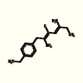 CC/C(C)=C/C(F)=C(\N)Cc1ccc(CC)cc1